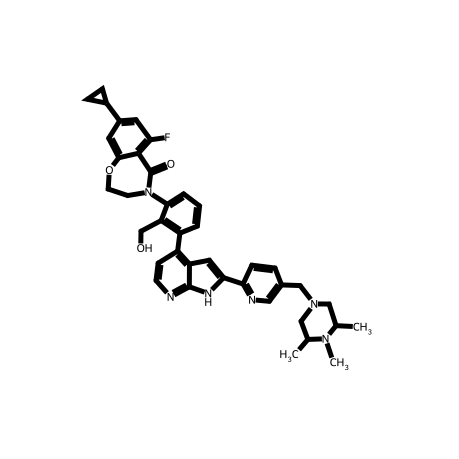 CC1CN(Cc2ccc(-c3cc4c(-c5cccc(N6CCOc7cc(C8CC8)cc(F)c7C6=O)c5CO)ccnc4[nH]3)nc2)CC(C)N1C